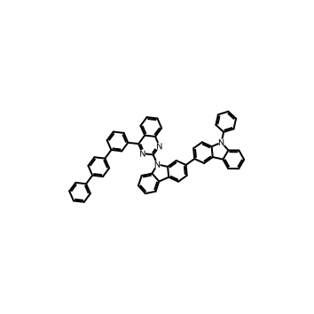 c1ccc(-c2ccc(-c3cccc(-c4nc(-n5c6ccccc6c6ccc(-c7ccc8c(c7)c7ccccc7n8-c7ccccc7)cc65)nc5ccccc45)c3)cc2)cc1